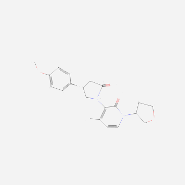 COc1ccc([C@H]2CC(=O)N(c3c(C)ccn(C4CCOC4)c3=O)C2)cc1